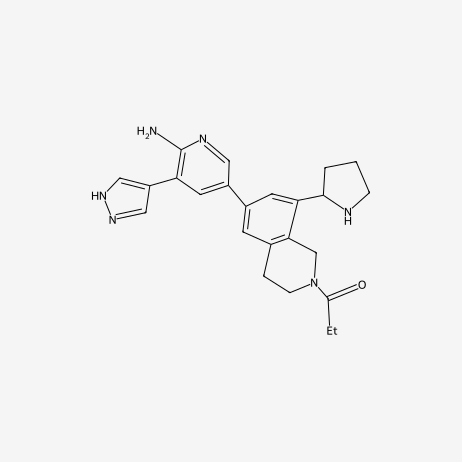 CCC(=O)N1CCc2cc(-c3cnc(N)c(-c4cn[nH]c4)c3)cc(C3CCCN3)c2C1